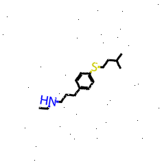 CCNCCCc1ccc(SCCC(C)C)cc1